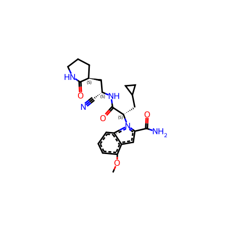 COc1cccc2c1cc(C(N)=O)n2[C@@H](CC1CC1)C(=O)N[C@H](C#N)C[C@@H]1CCCNC1=O